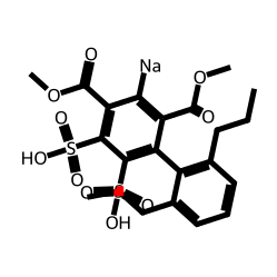 CCCc1cccc(CCC)c1-c1c(C(=O)OC)[c]([Na])c(C(=O)OC)c(S(=O)(=O)O)c1S(=O)(=O)O